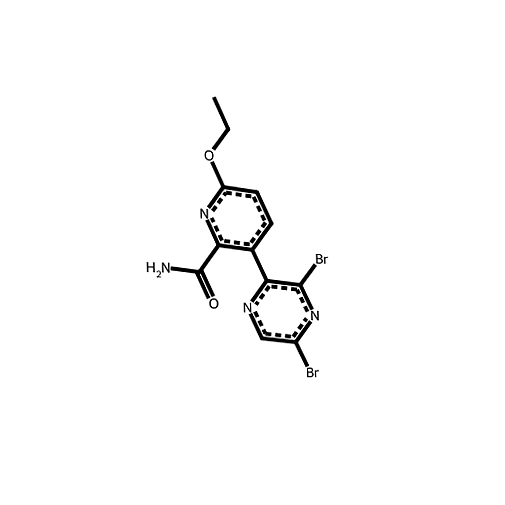 CCOc1ccc(-c2ncc(Br)nc2Br)c(C(N)=O)n1